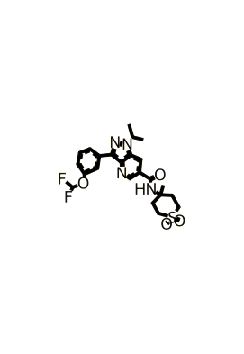 CC(C)n1nc(-c2cccc(OC(F)F)c2)c2ncc(C(=O)NC3(C)CCS(=O)(=O)CC3)cc21